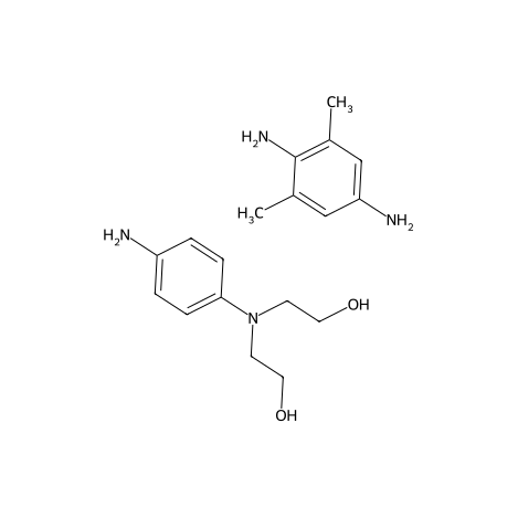 Cc1cc(N)cc(C)c1N.Nc1ccc(N(CCO)CCO)cc1